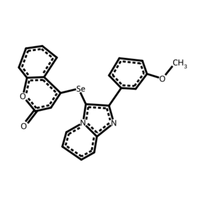 COc1cccc(-c2nc3ccccn3c2[Se]c2cc(=O)oc3ccccc23)c1